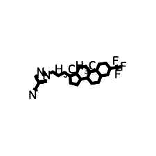 CC12CCC3C(CCC4CC(C(F)(F)F)CCC43C)C1CCC2CCCn1cc(C#N)cn1